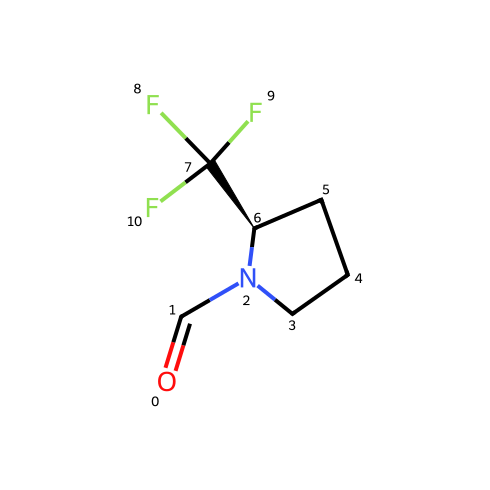 O=CN1CCC[C@@H]1C(F)(F)F